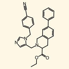 CCOC(=O)C1Cc2ccc(-c3ccccc3)cc2CN1Cc1cncn1Cc1ccc(C#N)cc1